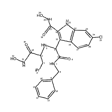 CC(C)CC(NC(C(=O)NCc1ccccc1)c1c(C(=O)NO)[nH]c2cc(Cl)ccc12)C(=O)NO